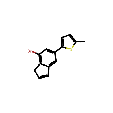 Cc1ccc(-c2cc(Br)c3c(c2)C=CC3)s1